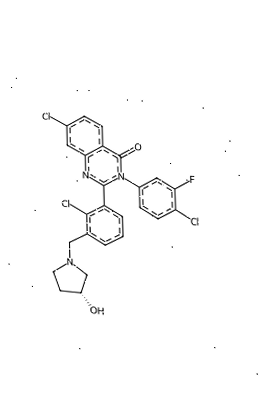 O=c1c2ccc(Cl)cc2nc(-c2cccc(CN3CC[C@@H](O)C3)c2Cl)n1-c1ccc(Cl)c(F)c1